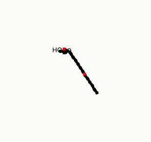 C#CC#CC#CC#CC#CC#CC#CC#CC#CC#CC#CC#COc1ccc(CO)cc1